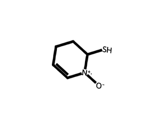 [O-][N+]1C=CCCC1S